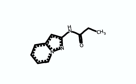 CCC(=O)Nc1cc2ccccn2n1